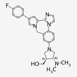 CN(C)[C@H]1CN(c2ccc3c(c2)Cn2cc(-c4ccc(F)cc4)cc2-c2nccn2-3)C[C@@H]1CO